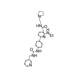 CCNc1nc(-c2ccc(NC(=O)NCc3cccnc3)cc2)ccc1C(=O)NCCN1CCCC1